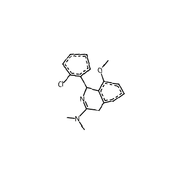 COc1cccc2c1C(c1ccccc1Cl)N=C(N(C)C)C2